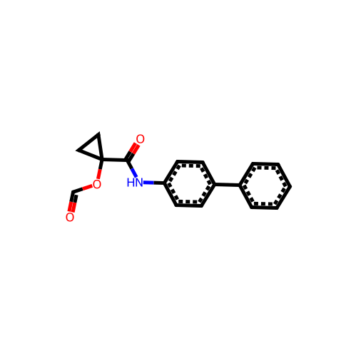 O=COC1(C(=O)Nc2ccc(-c3ccccc3)cc2)CC1